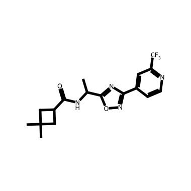 CC(NC(=O)C1CC(C)(C)C1)c1nc(-c2ccnc(C(F)(F)F)c2)no1